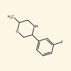 CC1CNC(c2cccc(F)c2)CO1